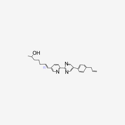 C=CCc1ccc(-c2cnc(-c3ccc(/C=C/CCCC(C)O)cn3)nc2)cc1